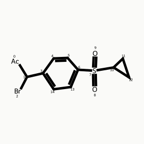 CC(=O)C(Br)c1ccc(S(=O)(=O)C2CC2)cc1